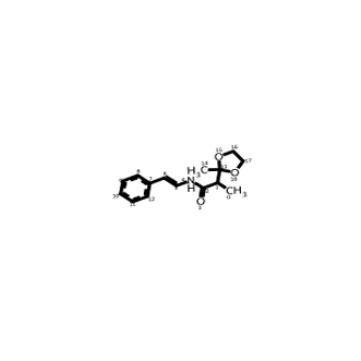 CC(C(=O)NC=Cc1ccccc1)C1(C)OCCO1